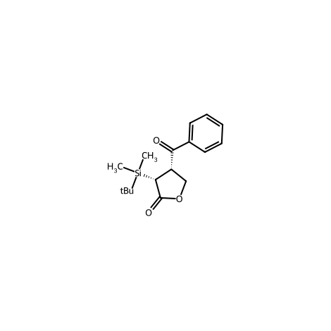 CC(C)(C)[Si](C)(C)[C@H]1C(=O)OC[C@H]1C(=O)c1ccccc1